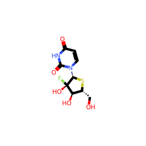 O=c1ccn([C@@H]2S[C@H](CO)[C@@H](O)[C@]2(O)F)c(=O)[nH]1